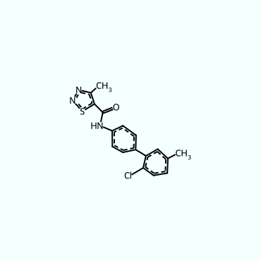 Cc1ccc(Cl)c(-c2ccc(NC(=O)c3snnc3C)cc2)c1